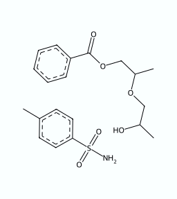 CC(O)COC(C)COC(=O)c1ccccc1.Cc1ccc(S(N)(=O)=O)cc1